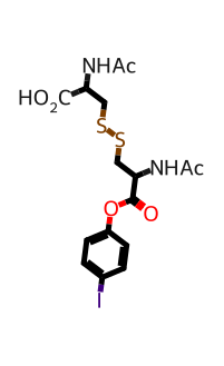 CC(=O)NC(CSSCC(NC(C)=O)C(=O)Oc1ccc(I)cc1)C(=O)O